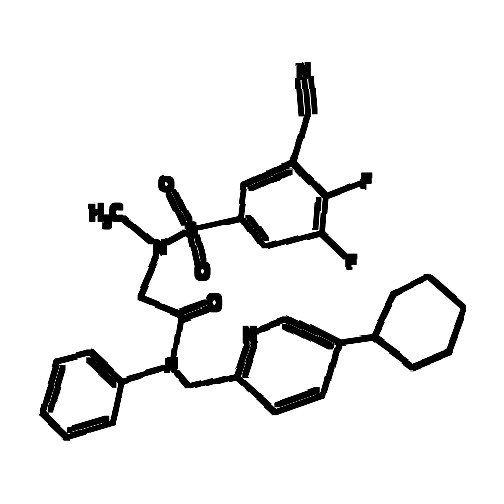 CN(CC(=O)N(Cc1ccc(C2CCCCC2)cn1)c1ccccc1)S(=O)(=O)c1cc(F)c(F)c(C#N)c1